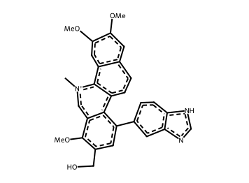 COc1cc2ccc3c4c(-c5ccc6[nH]cnc6c5)cc(CO)c(OC)c4c[n+](C)c3c2cc1OC